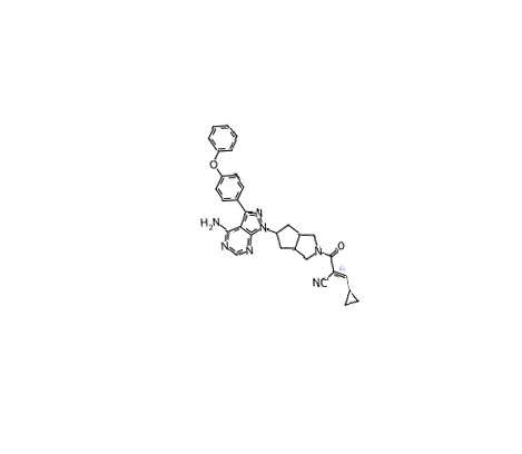 N#C/C(=C\C1CC1)C(=O)N1CC2CC(n3nc(-c4ccc(Oc5ccccc5)cc4)c4c(N)ncnc43)CC2C1